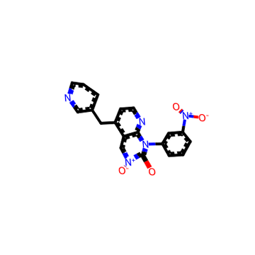 O=c1n(-c2cccc([N+](=O)[O-])c2)c2nccc(Cc3cccnc3)c2c[n+]1[O-]